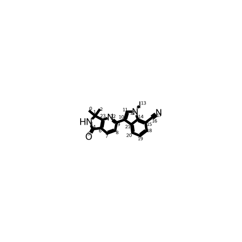 CC1(C)NC(=O)c2ccc(-c3cn(I)c4c(C#N)cccc34)nc21